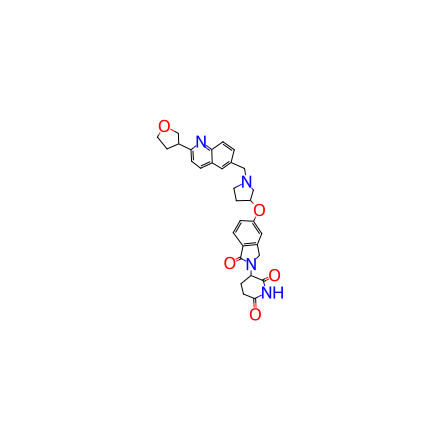 O=C1CCC(N2Cc3cc(OC4CCN(Cc5ccc6nc(C7CCOC7)ccc6c5)C4)ccc3C2=O)C(=O)N1